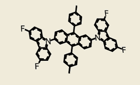 Cc1ccc(-c2c3ccc(-n4c5ccc(F)cc5c5cc(F)ccc54)cc3c(-c3ccc(C)cc3)c3ccc(-n4c5ccc(F)cc5c5cc(F)ccc54)cc23)cc1